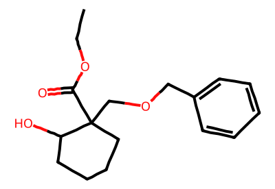 CCOC(=O)C1(COCc2ccccc2)CCCCC1O